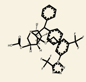 O=C(O)O[C@@H]1CN2CC[C@H]1[C@H](OCc1cc(-n3nnnc3C(F)(F)F)cc(C(F)(F)F)c1)[C@@H]2C(c1ccccc1)c1ccccc1